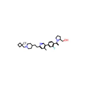 C=C(c1ccc(-c2cnc(CCC3CCN(CC4(C(F)(F)F)CCC4)CC3)cc2C)cc1F)N1CCCC1CO